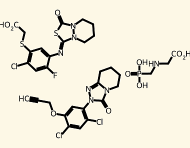 C#CCOc1cc(-n2nc3n(c2=O)CCCC3)c(Cl)cc1Cl.O=C(O)CNCP(=O)(O)O.O=C(O)CSc1cc(N=c2sc(=O)n3n2CCCC3)c(F)cc1Cl